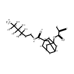 C=C(C)C(=O)OC12CC3CC(C1)CC(C(=O)OCCC(F)(F)C(F)(F)C(F)(F)C(F)(F)F)(C3)C2